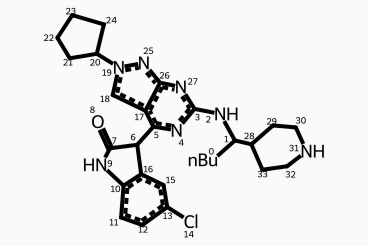 CCCCC(Nc1nc(C2C(=O)Nc3ccc(Cl)cc32)c2cn(C3CCCC3)nc2n1)C1CCNCC1